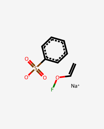 C=COF.O=S(=O)([O-])c1ccccc1.[Na+]